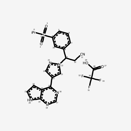 CC(C)S(=O)(=O)c1cccc(C(CC#N)n2cc(-c3ncnc4[nH]ccc34)cn2)c1.O=C(O)C(F)(F)F